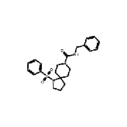 O=C(NCc1ccccc1)N1CCC2(CCCN2S(=O)(=O)c2ccccc2)CC1